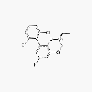 CC[C@H]1COc2cc(F)cc(-c3c(Cl)cccc3Cl)c2O1